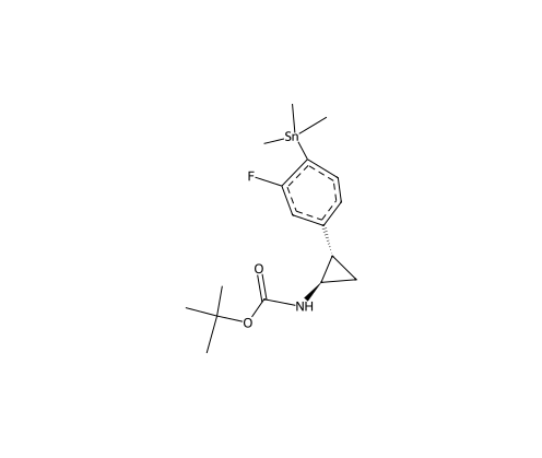 CC(C)(C)OC(=O)N[C@@H]1C[C@H]1c1cc[c]([Sn]([CH3])([CH3])[CH3])c(F)c1